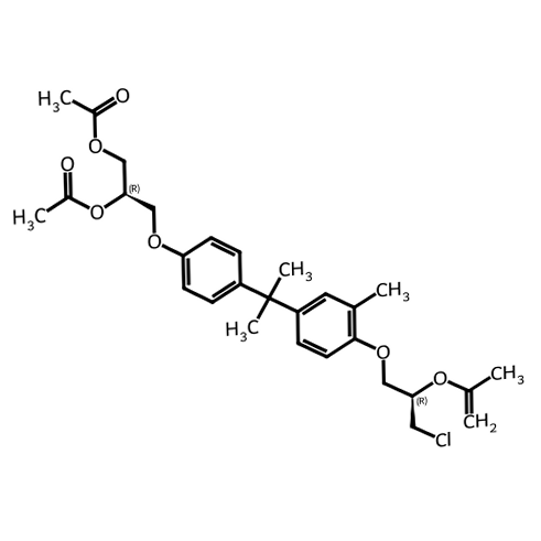 C=C(C)O[C@@H](CCl)COc1ccc(C(C)(C)c2ccc(OC[C@H](COC(C)=O)OC(C)=O)cc2)cc1C